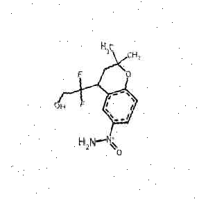 CC1(C)C[C](C(F)(F)CO)c2cc([N+](N)=O)ccc2O1